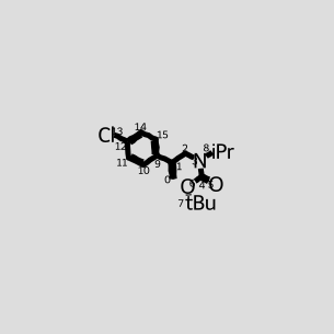 C=C(CN(C(=O)OC(C)(C)C)C(C)C)c1ccc(Cl)cc1